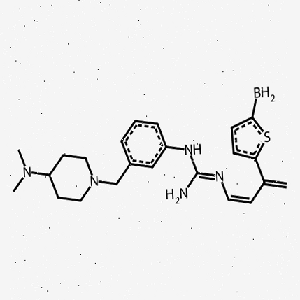 Bc1ccc(C(=C)/C=C\N=C(/N)Nc2cccc(CN3CCC(N(C)C)CC3)c2)s1